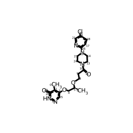 Cc1c(OC[C@H](C)OCCC(=O)N2CCN(c3ccc(Cl)cn3)CC2)cn[nH]c1=O